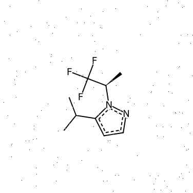 CC(C)c1ccnn1[C@H](C)C(F)(F)F